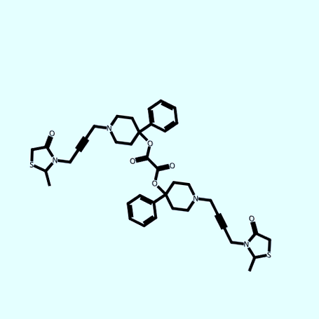 CC1SCC(=O)N1CC#CCN1CCC(OC(=O)C(=O)OC2(c3ccccc3)CCN(CC#CCN3C(=O)CSC3C)CC2)(c2ccccc2)CC1